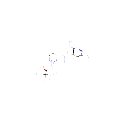 CC(C)(C)C(=O)ON1CCC[C@H](CNS(=O)(=O)c2cc(Br)cnc2N)C1